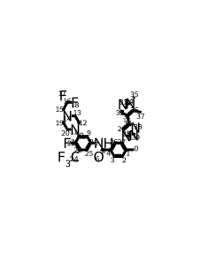 Cc1ccc(C(=O)Nc2cc(N3CCN(CC(F)F)CC3)c(F)c(C(F)(F)F)c2)cc1-n1cc(-c2cnn(C)c2C)nn1